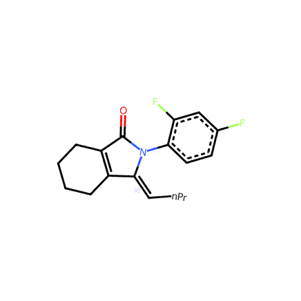 CCC/C=C1/C2=C(CCCC2)C(=O)N1c1ccc(F)cc1F